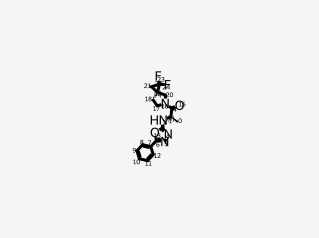 C[C@@H](Nc1nnc(-c2ccccc2)o1)C(=O)N1CC[C@]2(C1)CC2(F)F